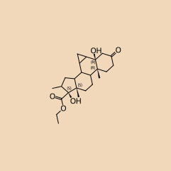 CCOC(=O)[C@]1(O)C(C)CC2C3C4CC4[C@]4(O)CC(=O)CC[C@]4(C)C3CC[C@@]21C